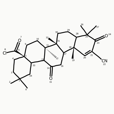 CC1(C)CC[C@]2(C(=O)Cl)CC[C@]3(C)C(C(=O)CC4[C@@]5(C)C=C(C#N)C(=O)C(C)(C)C5CC[C@]43C)C2C1